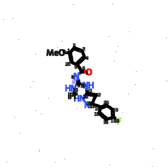 COc1cccc(C(=O)/N=C(\Nc2cc(-c3ccc(F)cc3)n[nH]2)NC(C)C)c1